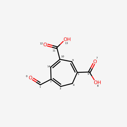 O=CC1=CCC(C(=O)O)=CC(C(=O)O)=C1